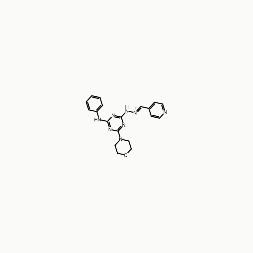 C(=N\Nc1nc(Nc2ccccc2)nc(N2CCOCC2)n1)/c1ccncc1